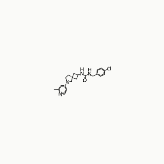 Cc1cc(N2CCC3(CC(NC(=O)NCc4ccc(Cl)cc4)C3)C2)ccn1